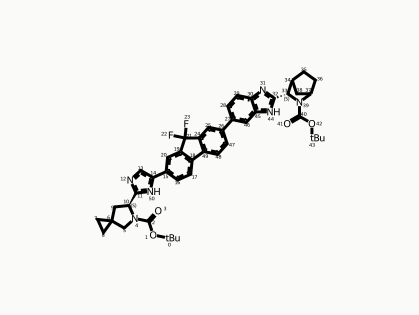 CC(C)(C)OC(=O)N1CC2(CC2)C[C@H]1c1ncc(-c2ccc3c(c2)C(F)(F)c2cc(-c4ccc5nc([C@@H]6C7CCC(C7)N6C(=O)OC(C)(C)C)[nH]c5c4)ccc2-3)[nH]1